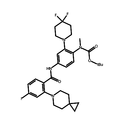 CN(C(=O)OC(C)(C)C)c1ccc(NC(=O)c2ccc(I)cc2N2CCC3(CC2)CC3)cc1N1CCC(F)(F)CC1